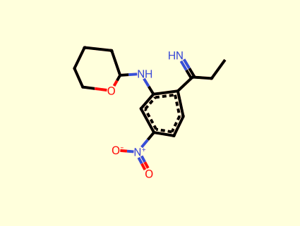 CCC(=N)c1ccc([N+](=O)[O-])cc1NC1CCCCO1